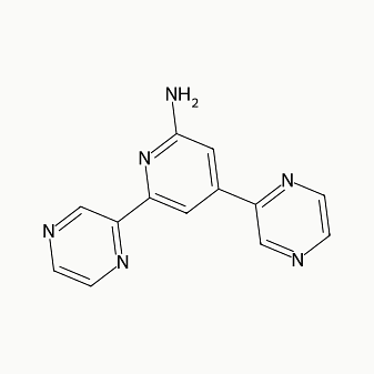 Nc1cc(-c2cnccn2)cc(-c2cnccn2)n1